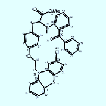 COC(=O)C(Cc1ccc(OCCN2c3ccccc3Sc3ccc(Cl)cc32)cc1)Nc1ccccc1C(=O)c1ccccc1